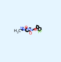 Cc1cn(-c2ccc3n(c2=O)CCN(CCOc2cccc4c2CC(F)(F)CC4)C3=O)cn1